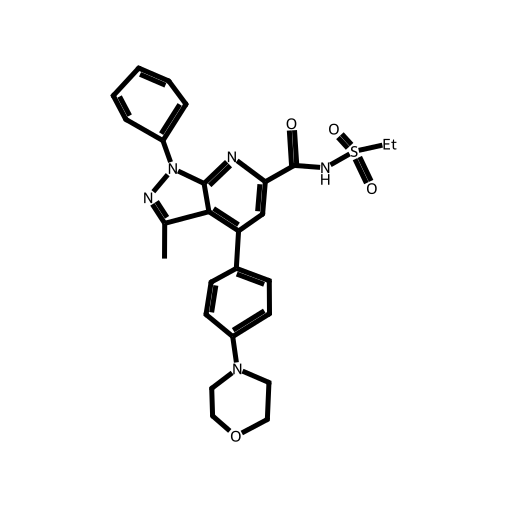 CCS(=O)(=O)NC(=O)c1cc(-c2ccc(N3CCOCC3)cc2)c2c(C)nn(-c3ccccc3)c2n1